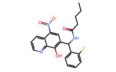 CCCCC(=O)NC(c1ccccc1F)c1cc([N+](=O)[O-])c2cccnc2c1O